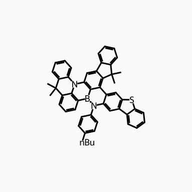 CCCCc1ccc(N2B3c4cccc5c4N(c4ccccc4C5(C)C)c4cc5c(c(c43)-c3cc4sc6ccccc6c4cc32)C(C)(C)c2ccccc2-5)cc1